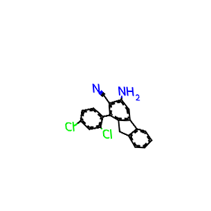 N#Cc1c(N)cc2c(c1-c1ccc(Cl)cc1Cl)Cc1ccccc1-2